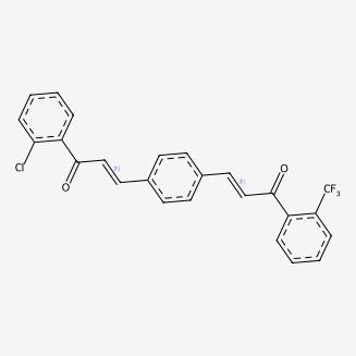 O=C(/C=C/c1ccc(/C=C/C(=O)c2ccccc2C(F)(F)F)cc1)c1ccccc1Cl